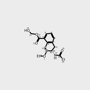 CCOB1Oc2c(cccc2C(=O)OCO)C[C@@H]1NC(=O)CC